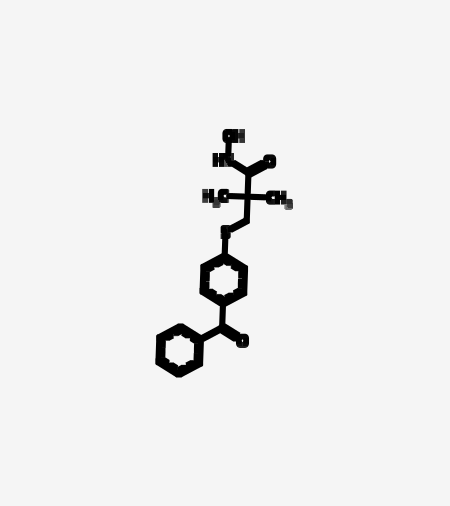 CC(C)(CSc1ccc(C(=O)c2ccccc2)cc1)C(=O)NO